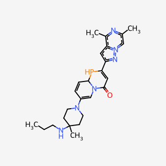 CCCNC1(C)CCN(C2=CN3C(=O)C=C(c4cc5c(C)nc(C)cn5n4)PC3C=C2)CC1